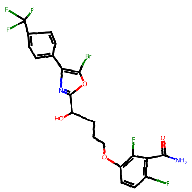 NC(=O)c1c(F)ccc(OCCCC(O)c2nc(-c3ccc(C(F)(F)F)cc3)c(Br)o2)c1F